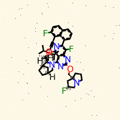 CC(C)[Si](C#Cc1c(F)ccc2cccc(-c3nc4c5c(nc(OC[C@@]67CCCN6C[C@H](F)C7)nc5c3F)N3C[C@H]5CC[C@H](C5)[C@H]3[C@H](C)O4)c12)(C(C)C)C(C)C